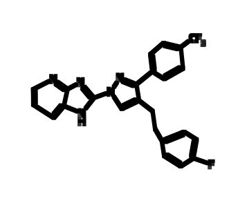 Fc1ccc(CCc2cn(-c3nc4ncccc4[nH]3)nc2-c2ccc(C(F)(F)F)cc2)cc1